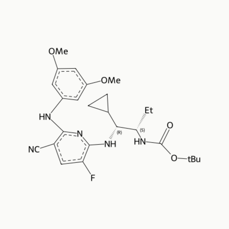 CC[C@H](NC(=O)OC(C)(C)C)[C@H](Nc1nc(Nc2cc(OC)cc(OC)c2)c(C#N)cc1F)C1CC1